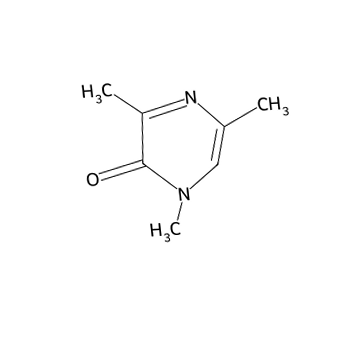 Cc1cn(C)c(=O)c(C)n1